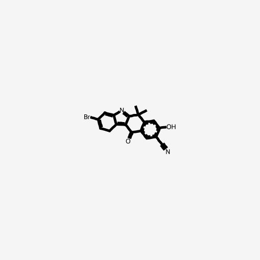 CC1(C)C2=NC3=CC(Br)=CCC3=C2C(=O)c2cc(C#N)c(O)cc21